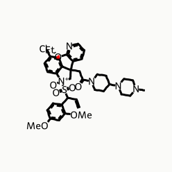 C=CC(c1ccc(OC)cc1OC)S(=O)(=O)[N+]1([O-])CC(CC(=O)N2CCC(N3CCN(C)CC3)CC2)(c2cccnc2OCC)c2cc(Cl)ccc21